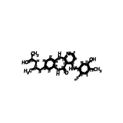 Cc1cc(F)c(Nc2ccnc3c2C(=O)Nc2cc(CN(C)C[C@H](C)O)ccc2N3)cc1O